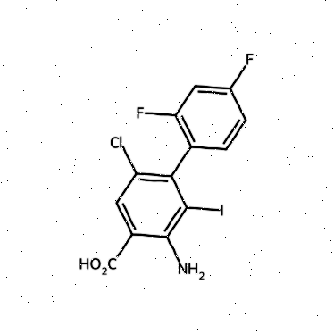 Nc1c(C(=O)O)cc(Cl)c(-c2ccc(F)cc2F)c1I